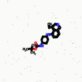 C=Cc1cncc2cccc(NC3CCC(NC(=O)OC(C)(C)C)CC3)c12